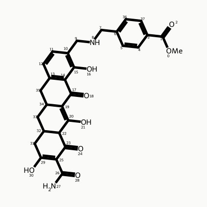 COC(=O)c1ccc(CNCc2ccc3c(c2O)C(=O)C2=C(O)C4C(=O)C(C(N)=O)=C(O)CC4CC2C3)cc1